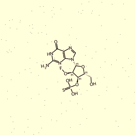 Nc1nc2c(ncn2[C@@H]2O[C@H](CO)[C@@H](OP(O)(O)=S)[C@H]2OF)c(=O)[nH]1